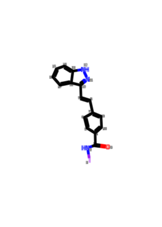 O=C(NI)c1ccc(/C=C/c2n[nH]c3ccccc23)cc1